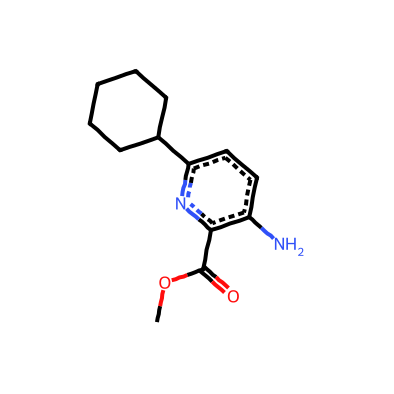 COC(=O)c1nc(C2CCCCC2)ccc1N